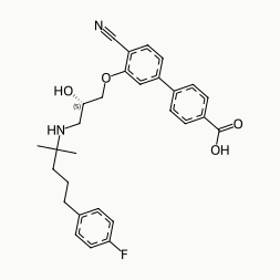 CC(C)(CCCc1ccc(F)cc1)NC[C@H](O)COc1cc(-c2ccc(C(=O)O)cc2)ccc1C#N